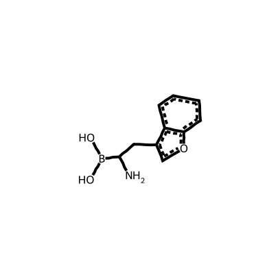 NC(Cc1coc2ccccc12)B(O)O